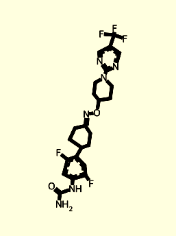 NC(=O)Nc1cc(F)c(C2CCC(=NOC3CCN(c4ncc(C(F)(F)F)cn4)CC3)CC2)cc1F